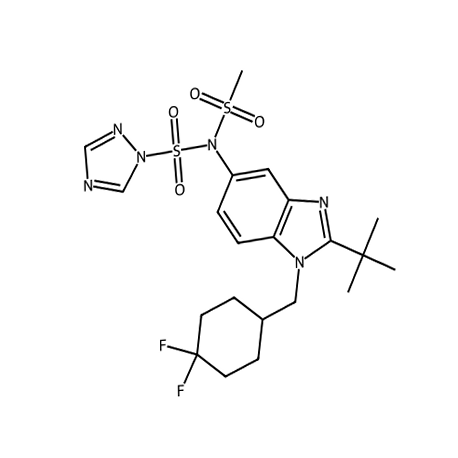 CC(C)(C)c1nc2cc(N(S(C)(=O)=O)S(=O)(=O)n3cncn3)ccc2n1CC1CCC(F)(F)CC1